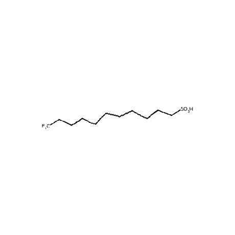 O=S(=O)(O)CCCCCCCCCCC(F)(F)F